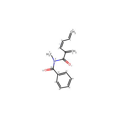 C=C/C=C\C(=C)C(=O)N(C)C(=O)c1ccccc1